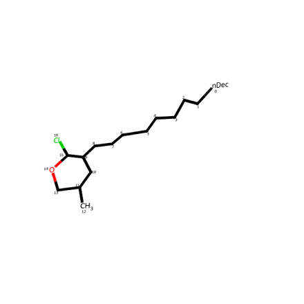 CCCCCCCCCCCCCCCCCCC1CC(C)COC1Cl